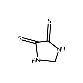 S=C1NCNC1=S